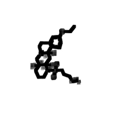 CCOc1ccc2c(c1)CCN1C[C@H]3CCCN(S(=O)(=O)CCCN)[C@H]3C[C@@H]21